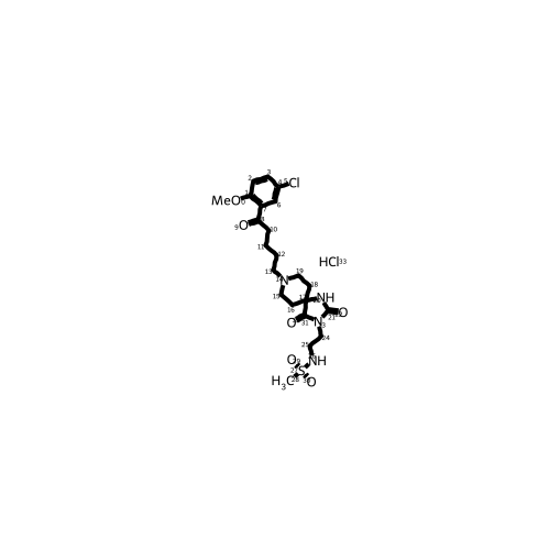 COc1ccc(Cl)cc1C(=O)CCCCN1CCC2(CC1)NC(=O)N(CCNS(C)(=O)=O)C2=O.Cl